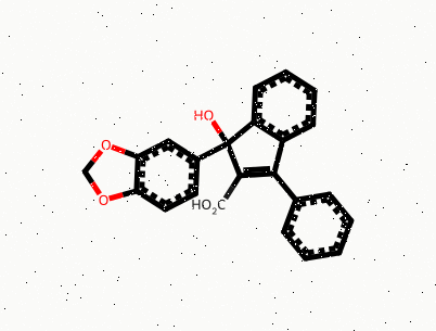 O=C(O)C1=C(c2ccccc2)c2ccccc2C1(O)c1ccc2c(c1)OCO2